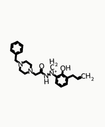 C=CCc1cccc([N+](=C)NC(=O)CN2CCN(Cc3ccccc3)CC2)c1O